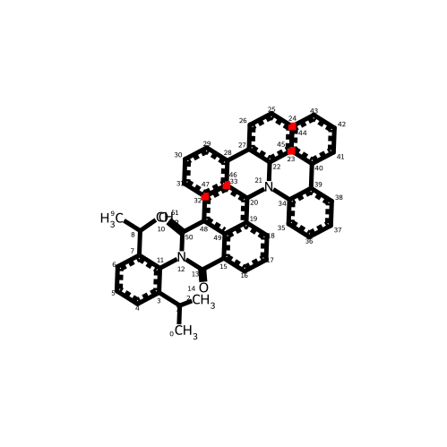 CC(C)c1cccc(C(C)C)c1N1C(=O)c2cccc3c(N(c4ccccc4-c4ccccc4)c4ccccc4-c4ccccc4)ccc(c23)C1=O